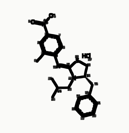 Cc1cc([N+](=O)[O-])ccc1/N=C1\SC[C@H](Cc2ccccc2)N1CC(C)C.Cl